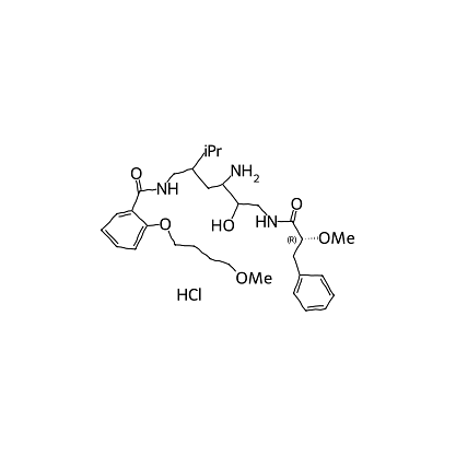 COCCCCOc1ccccc1C(=O)NCC(CC(N)C(O)CNC(=O)[C@@H](Cc1ccccc1)OC)C(C)C.Cl